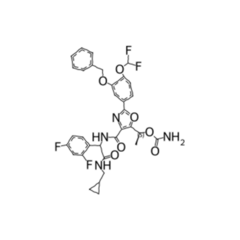 C[C@H](OC(N)=O)c1oc(-c2ccc(OC(F)F)c(OCc3ccccc3)c2)nc1C(=O)NC(C(=O)NCC1CC1)c1ccc(F)cc1F